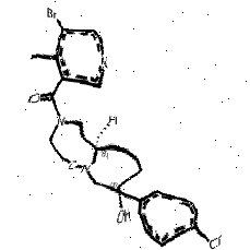 Cc1c(Br)cncc1C(=O)N1CCN2C[C@@](O)(c3ccc(Cl)cc3)CC[C@@H]2C1